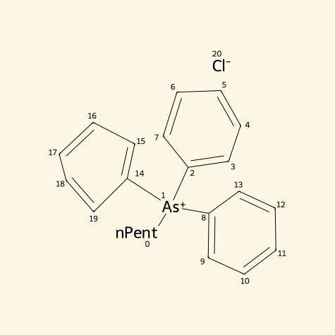 CCCCC[As+](c1ccccc1)(c1ccccc1)c1ccccc1.[Cl-]